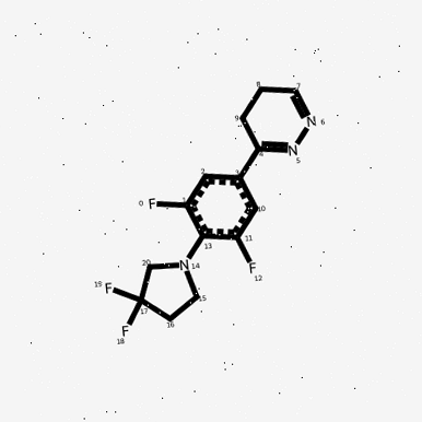 Fc1cc(C2=NN=CCC2)cc(F)c1N1CCC(F)(F)C1